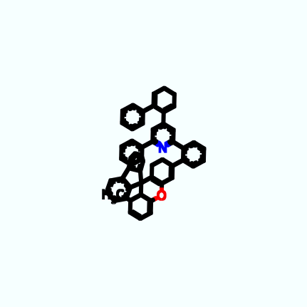 CC1C=CC=C2OC3=C(CCC(c4ccccc4-c4cc(C5=CCCC=C5c5ccccc5)cc(-c5ccccc5)n4)=C3)C3(c4ccccc4-c4ccccc43)C21